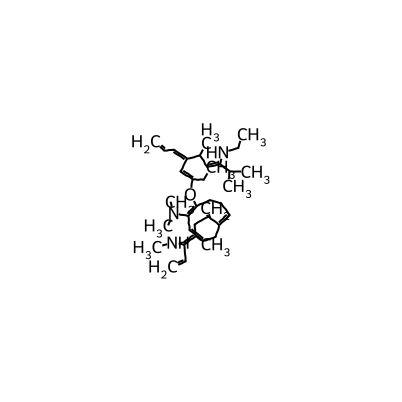 C=C/C=C(\C=C(/CC)O/C1=C(\N(C)C)C=CC/C(C(=C)C/C(C)=C(/C=C)NC)=C/CC1)C(C)/C=C(\NCC)C(C)C